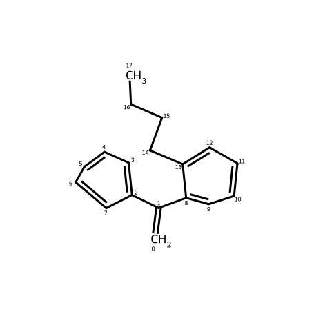 C=C(c1ccccc1)c1ccccc1CCCC